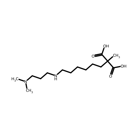 CN(C)CCCNCCCCCCC(C)(C(=O)O)C(=O)O